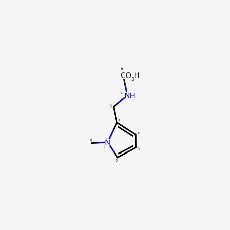 Cn1cccc1CNC(=O)O